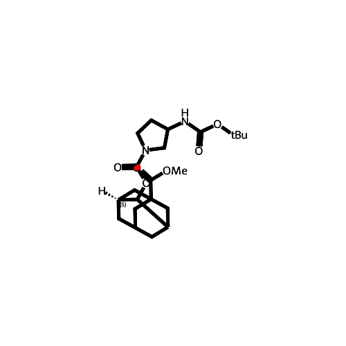 COC(=O)C12CC3CC(C1)C(OC(=O)N1CCC(NC(=O)OC(C)(C)C)C1)[C@@H](C3)C2